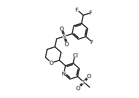 CS(=O)(=O)c1cnc(C2CC(CS(=O)(=O)c3cc(F)cc(C(F)F)c3)CCO2)c(Cl)c1